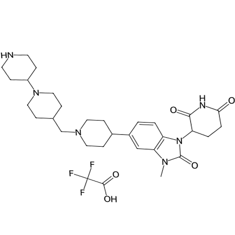 Cn1c(=O)n(C2CCC(=O)NC2=O)c2ccc(C3CCN(CC4CCN(C5CCNCC5)CC4)CC3)cc21.O=C(O)C(F)(F)F